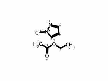 CCOC(C)=O.Cln1cccn1